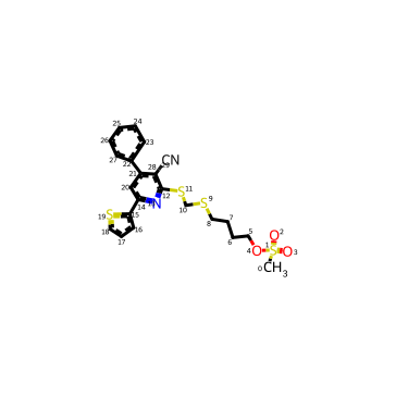 CS(=O)(=O)OCCCCSCSc1nc(-c2cccs2)cc(-c2ccccc2)c1C#N